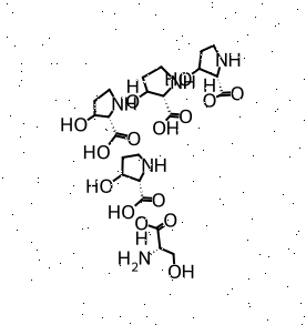 N[C@@H](CO)C(=O)O.O=C(O)[C@H]1NCCC1O.O=C(O)[C@H]1NCCC1O.O=C(O)[C@H]1NCCC1O.O=C(O)[C@H]1NCCC1O